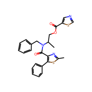 Cc1nc(C(=O)N(Cc2ccccc2)C(C)COC(=O)c2cncs2)c(-c2ccccc2)s1